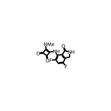 CNc1c(Nc2c(F)cc(F)c3c2C(=O)NC3)c(=O)c1=O